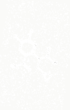 NC(=O)c1cc(F)c(Cl)nc1N(CC1CC1)C(=O)O